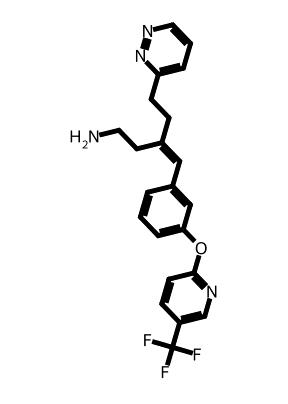 NCC/C(=C\c1cccc(Oc2ccc(C(F)(F)F)cn2)c1)CCc1cccnn1